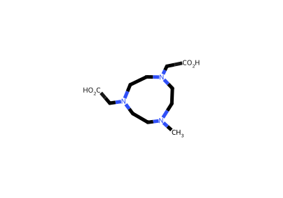 CN1CCN(CC(=O)O)CCN(CC(=O)O)CC1